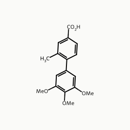 COc1cc(-c2ccc(C(=O)O)cc2C)cc(OC)c1OC